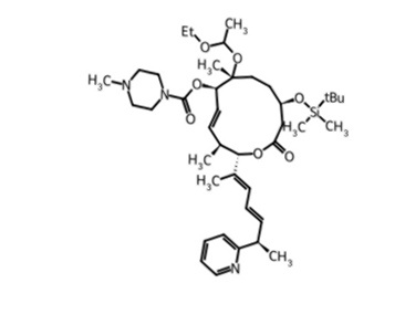 CCOC(C)O[C@]1(C)CC[C@@H](O[Si](C)(C)C(C)(C)C)CC(=O)O[C@H](/C(C)=C/C=C/[C@@H](C)c2ccccn2)[C@@H](C)/C=C/[C@H]1OC(=O)N1CCN(C)CC1